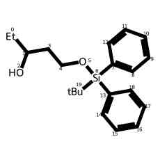 CCC(O)CCO[Si](c1ccccc1)(c1ccccc1)C(C)(C)C